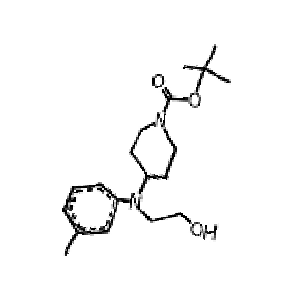 Cc1cccc(N(CCO)C2CCN(C(=O)OC(C)(C)C)CC2)c1